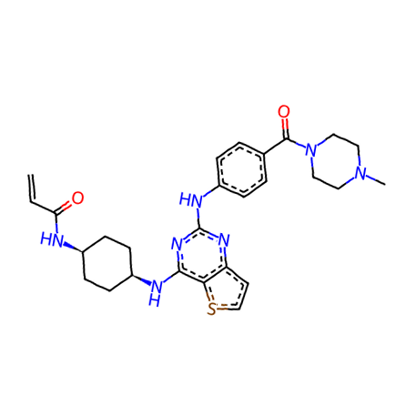 C=CC(=O)N[C@H]1CC[C@@H](Nc2nc(Nc3ccc(C(=O)N4CCN(C)CC4)cc3)nc3ccsc23)CC1